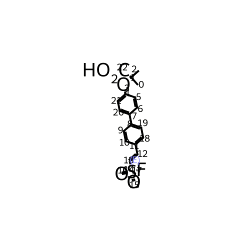 CC(C)(Oc1ccc(-c2ccc(/C=C/S(=O)(=O)F)cc2)cc1)C(=O)O